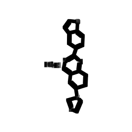 Cl.Cl.c1cn(-c2ccc3nc(-c4ccc5occc5c4)ncc3c2)cn1